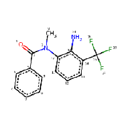 CN(C(=O)c1ccccc1)c1cccc(C(F)(F)F)c1N